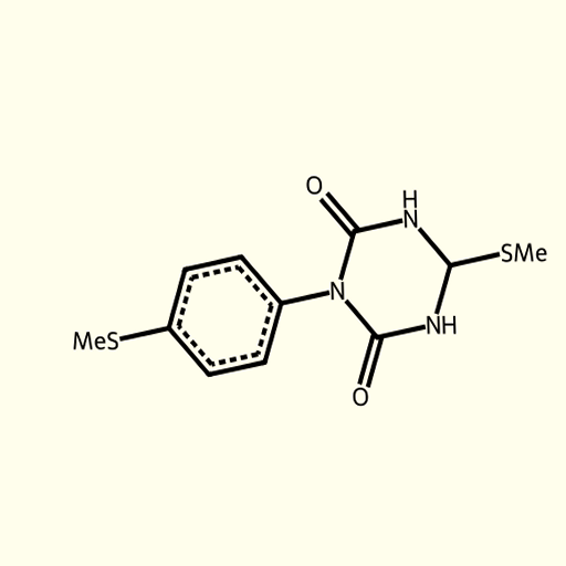 CSc1ccc(N2C(=O)NC(SC)NC2=O)cc1